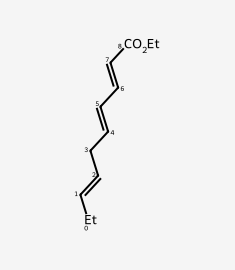 CCC=CCC=CC=CC(=O)OCC